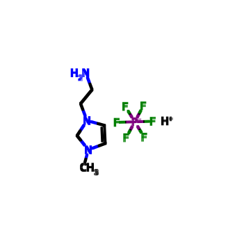 CN1C=CN(CCN)C1.F[P-](F)(F)(F)(F)F.[H+]